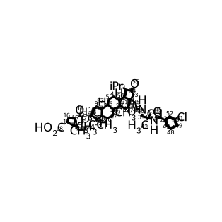 CC(C)C1=C2[C@H]3CC[C@@H]4[C@@]5(C)CC[C@H](OC(=O)[C@H]6C[C@@H](C(=O)O)C6(C)C)C(C)(C)[C@@H]5CC[C@@]4(C)[C@]3(C)CC[C@@]2(CC(=O)NCC(C)(C)NC(=O)c2cccc(Cl)c2)CC1=O